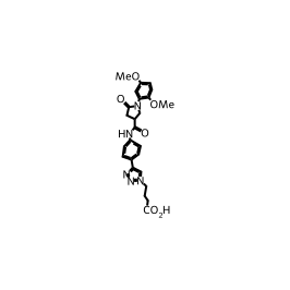 COc1ccc(OC)c(N2CC(C(=O)Nc3ccc(-c4cn(CCCC(=O)O)nn4)cc3)CC2=O)c1